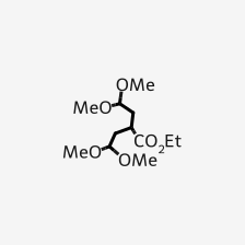 CCOC(=O)C(CC(OC)OC)CC(OC)OC